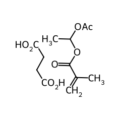 C=C(C)C(=O)OC(C)OC(C)=O.O=C(O)CCC(=O)O